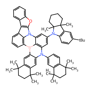 CC(C)(C)c1ccc2c(c1)C1(C)CCCCC1(C)N2c1cc2c3c(c1)-n1c4oc5ccccc5c4c4cccc(c41)B3c1cc3c(cc1N2c1ccc2c(c1)C(C)(C)CCC2(C)C)C(C)(C)CCC3(C)C